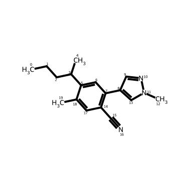 CCCC(C)c1cc(-c2cnn(C)c2)c(C#N)cc1C